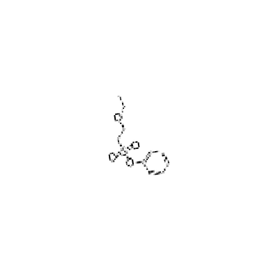 CCOCCS(=O)(=O)Oc1ccccc1